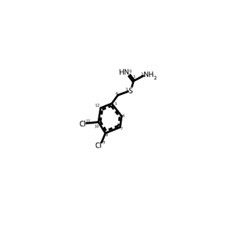 N=C(N)SCc1ccc(Cl)c(Cl)c1